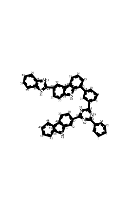 c1ccc(-c2nc(-c3cccc(-c4cccc5c4sc4ccc(-c6nc7ccccc7s6)cc45)c3)nc(-c3ccc4c(c3)sc3ccccc34)n2)cc1